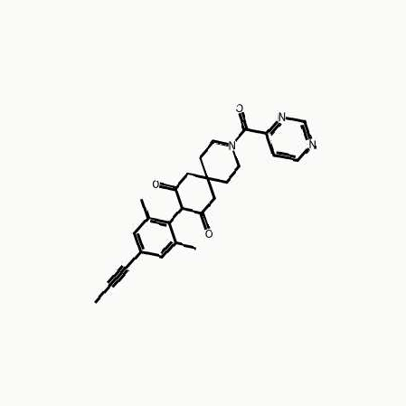 CC#Cc1cc(C)c(C2C(=O)CC3(CCN(C(=O)c4ccncn4)CC3)CC2=O)c(C)c1